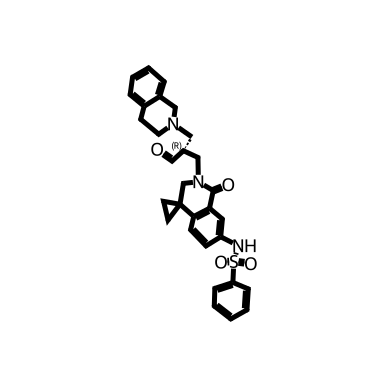 O=C[C@H](CN1CCc2ccccc2C1)CN1CC2(CC2)c2ccc(NS(=O)(=O)c3ccccc3)cc2C1=O